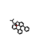 CC(C)CC1=Cc2c(ccc(-c3ccccc3)c2-c2ccccc2-c2ccccc2)[CH]1